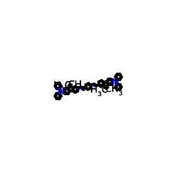 CC1(C)C2=C(CCC(/C=C/C3=CC=C(/C=C/c4ccc5c(c4)C(C)(C)c4cc(N(C6=CC=CCC6)c6ccccc6)ccc4-5)CC3)=C2)c2ccc(N(C3=CCCC=C3)c3ccccc3)cc21